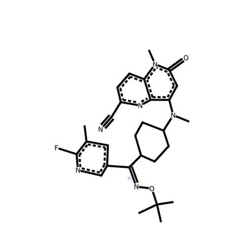 Cc1cc(/C(=N/OC(C)(C)C)C2CCC(N(C)c3cc(=O)n(C)c4ccc(C#N)nc34)CC2)cnc1F